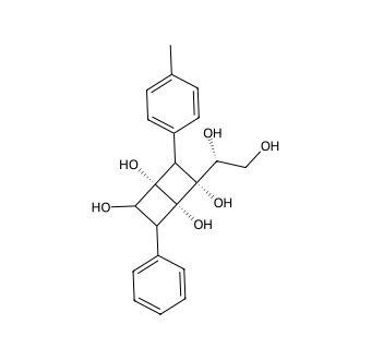 Cc1ccc(C2[C@]3(O)C(O)C(c4ccccc4)[C@]3(O)[C@]2(O)[C@H](O)CO)cc1